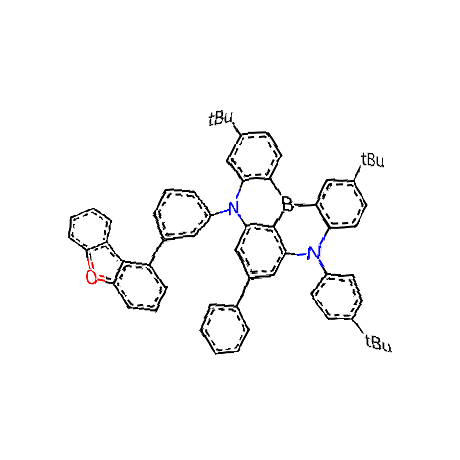 CC(C)(C)c1ccc(N2c3ccc(C(C)(C)C)cc3B3c4ccc(C(C)(C)C)cc4N(c4cccc(-c5cccc6oc7ccccc7c56)c4)c4cc(-c5ccccc5)cc2c43)cc1